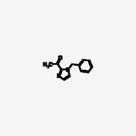 CC(=O)c1nccn1Cc1ccccc1